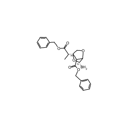 B[C@@H]1O[C@@]2(C(C)C(=O)OCc3ccccc3)COC1C2C(=O)OCc1ccccc1